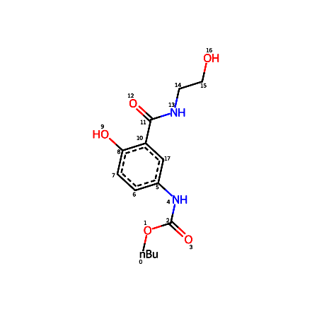 CCCCOC(=O)Nc1ccc(O)c(C(=O)NCCO)c1